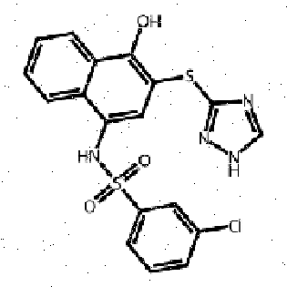 O=S(=O)(Nc1cc(Sc2nc[nH]n2)c(O)c2ccccc12)c1cccc(Cl)c1